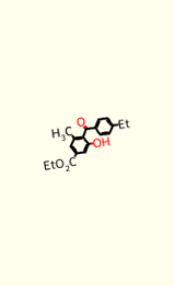 CCOC(=O)c1cc(C)c(C(=O)c2ccc(CC)cc2)c(O)c1